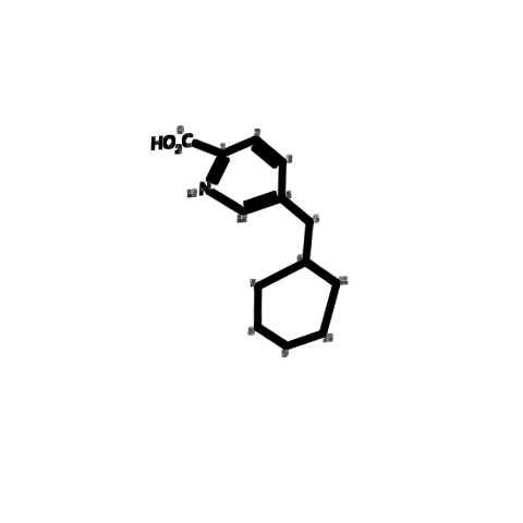 O=C(O)c1ccc(CC2CCCCC2)cn1